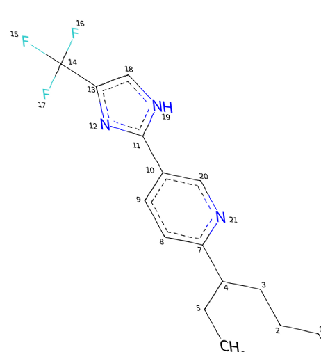 CCCCC(CC)c1ccc(-c2nc(C(F)(F)F)c[nH]2)cn1